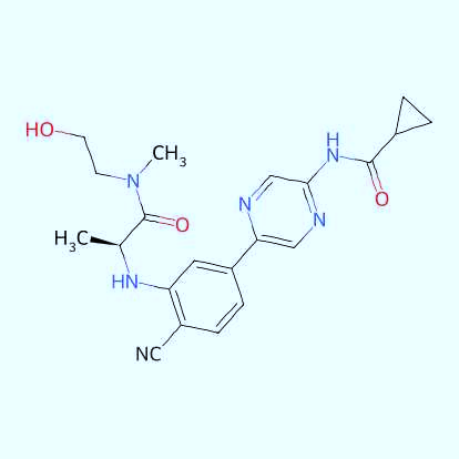 C[C@H](Nc1cc(-c2cnc(NC(=O)C3CC3)cn2)ccc1C#N)C(=O)N(C)CCO